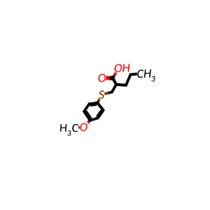 CCCC(CSc1ccc(OC)cc1)C(=O)O